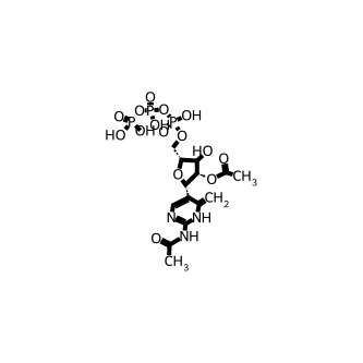 C=C1NC(NC(C)=O)=NC=C1[C@@H]1O[C@H](COP(=O)(O)OP(=O)(O)OP(=O)(O)O)C(O)[C@@H]1OC(C)=O